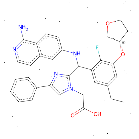 CCc1cc(O[C@H]2CCOC2)c(F)c(C(Nc2ccc3c(N)nccc3c2)c2nc(-c3ccccc3)cn2CC(=O)O)c1